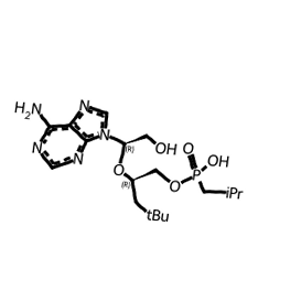 CC(C)CP(=O)(O)OC[C@@H](CC(C)(C)C)O[C@H](CO)n1cnc2c(N)ncnc21